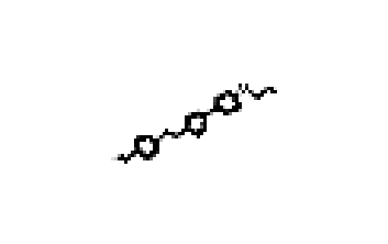 CCCOc1ccc(-c2ccc(CCc3ccc(C=O)cc3)cc2)cc1